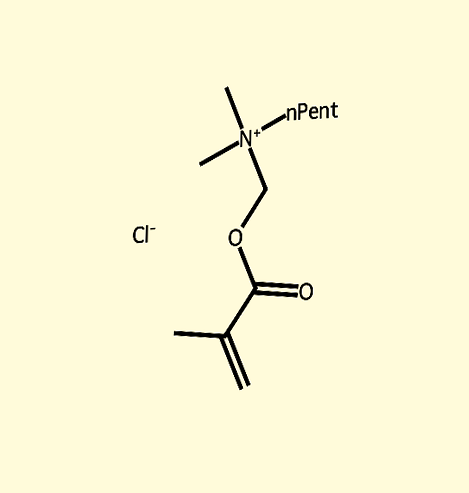 C=C(C)C(=O)OC[N+](C)(C)CCCCC.[Cl-]